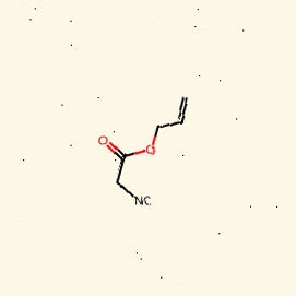 [C-]#[N+]CC(=O)OCC=C